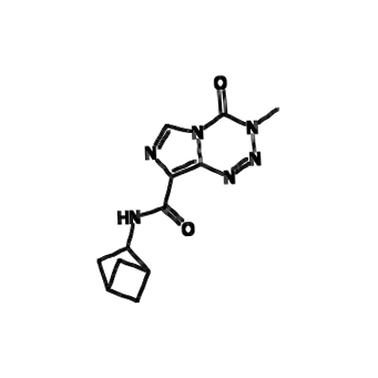 Cn1nnc2c(C(=O)NC3CC4CC3C4)ncn2c1=O